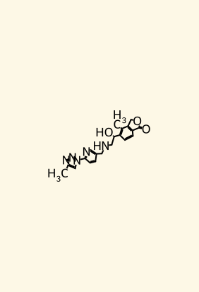 Cc1cn(-c2ccc(CNC[C@H](O)c3ccc4c(c3C)COC4=O)cn2)nn1